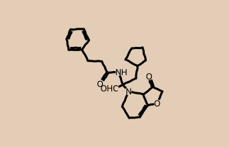 O=CC(CC1CCCC1)(NC(=O)CCc1ccccc1)N1CCC=C2OCC(=O)C21